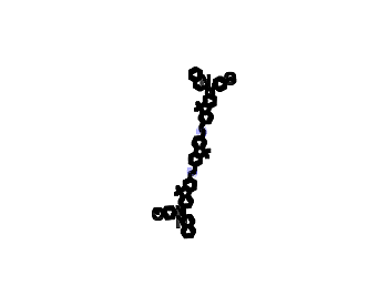 COc1ccc(N(c2ccc3c(c2)C(C)(C)c2cc(/C=C/c4ccc5c(c4)C(C)(C)c4cc(/C=C/c6ccc7c(c6)C(C)(C)c6cc(N(c8ccc(OC)cc8)c8ccc9ccccc9n8)ccc6-7)ccc4-5)ccc2-3)c2ccc3ccccc3n2)cc1